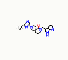 Cc1cncc(N2CCC3(CCCN(CC4=CNC5N=CC=CC45)C3=O)CC2)n1